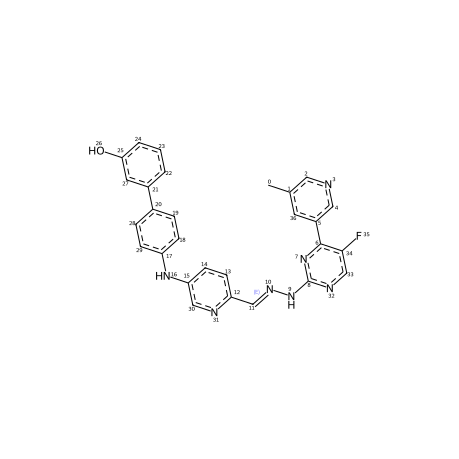 Cc1cncc(-c2nc(N/N=C/c3ccc(Nc4ccc(-c5cccc(O)c5)cc4)cn3)ncc2F)c1